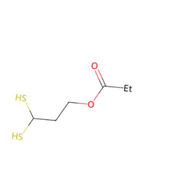 CCC(=O)OCCC(S)S